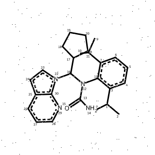 CC(C)c1cccc(C(C)C)c1N(C(N)=O)C(C1CCCC1)n1ccc2cccnc21